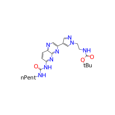 CCCCCNC(=O)Nc1ccc2ncc(-c3cnn(CCNC(=O)OC(C)(C)C)c3)nc2n1